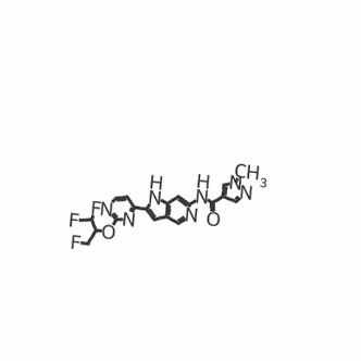 Cn1cc(C(=O)Nc2cc3[nH]c(-c4ccnc(OC(CF)C(F)F)n4)cc3cn2)cn1